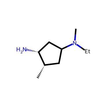 CCN(C)C1C[C@@H](N)[C@@H](C)C1